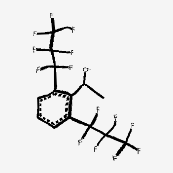 CC([O])c1c(C(F)(F)C(F)(F)C(F)(F)F)cccc1C(F)(F)C(F)(F)C(F)(F)F